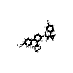 O=C(Nc1ccc(-c2ccc(C(F)(F)F)nc2)c(-c2nnn[nH]2)c1)C1(c2ccc(F)cn2)CC1